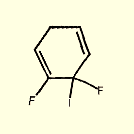 FC1=CCC=CC1(F)I